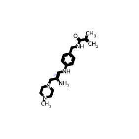 C=C(C)C(=O)NCc1ccc(N/C=C(\N)CN2CCN(C)CC2)cc1